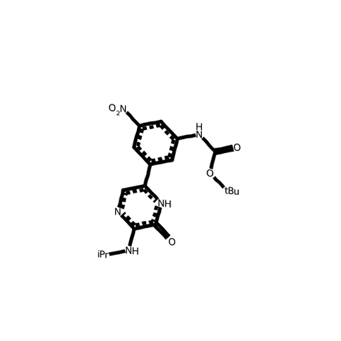 CC(C)Nc1ncc(-c2cc(NC(=O)OC(C)(C)C)cc([N+](=O)[O-])c2)[nH]c1=O